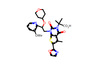 COc1cccnc1C(Cn1c(=O)n(C(C)(C)C(=O)O)c(=O)c2c(C)c(-c3ncco3)sc21)OC1CCOCC1